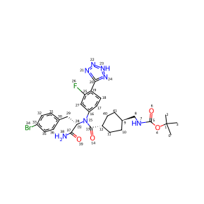 CC(C)(C)OC(=O)NC[C@H]1CC[C@H](C(=O)N(c2ccc(-c3nn[nH]n3)c(F)c2)[C@@H](Cc2ccc(Br)cc2)C(N)=O)CC1